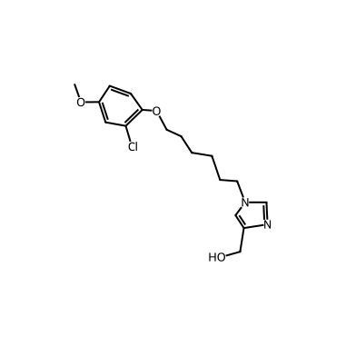 COc1ccc(OCCCCCCn2cnc(CO)c2)c(Cl)c1